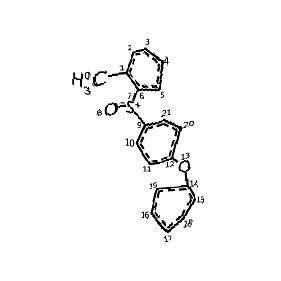 Cc1ccccc1[S+]([O-])c1ccc(Oc2ccccc2)cc1